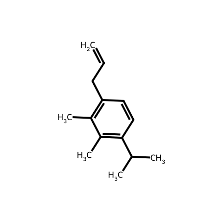 C=CCc1ccc(C(C)C)c(C)c1C